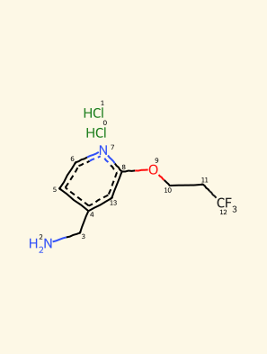 Cl.Cl.NCc1ccnc(OCCC(F)(F)F)c1